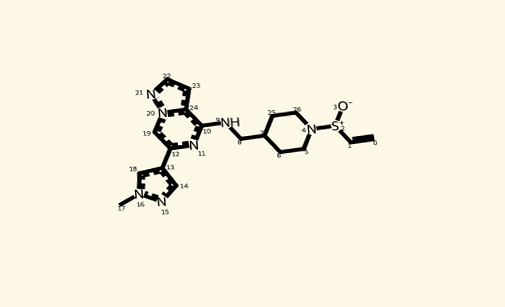 C=C[S+]([O-])N1CCC(CNc2nc(-c3cnn(C)c3)cn3nccc23)CC1